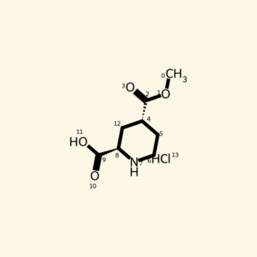 COC(=O)[C@@H]1CCN[C@@H](C(=O)O)C1.Cl